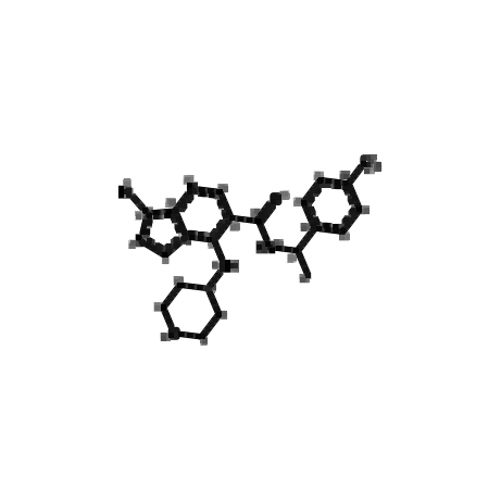 CCn1ncc2c(NC3CCOCC3)c(C(=O)NC(C)c3ccc(C(F)(F)F)cc3)cnc21